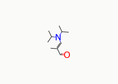 CC(C=O)=CN(C(C)C)C(C)C